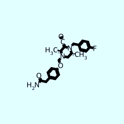 C[C@@H]1CN(COc2ccc(CC(N)=O)cc2)[C@@H](C)C(=C=O)N1Cc1ccc(F)cc1